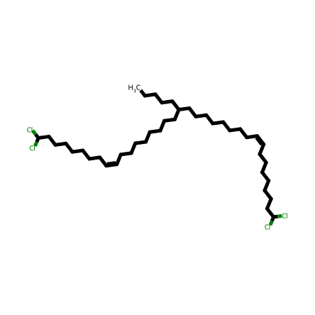 CCCCCC(CCCCCCCC/C=C\CCCCCCCC(Cl)Cl)CCCCCCCC/C=C\CCCCCCCC(Cl)Cl